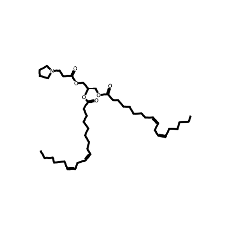 CCCCC/C=C\C/C=C\CCCCCCCC(=O)OC[C@H](COC(=O)CCN1CCCC1)OC(=O)CCCCCCC/C=C\C/C=C\CCCCC